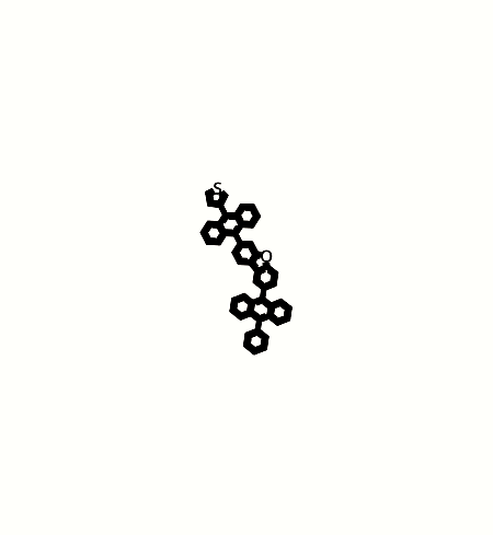 c1ccc(-c2c3ccccc3c(-c3ccc4oc5cc(-c6c7ccccc7c(-c7ccsc7)c7ccccc67)ccc5c4c3)c3ccccc23)cc1